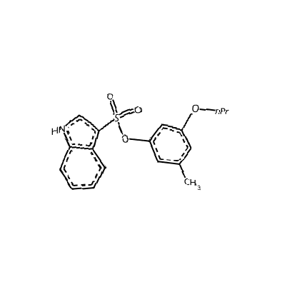 CCCOc1cc(C)cc(OS(=O)(=O)c2c[nH]c3ccccc23)c1